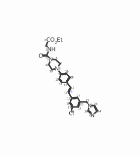 CCOC(=O)CNC(=O)N1CCN(c2ccc(/C=C/c3cc(Cl)cc(Cn4ccnc4)c3)cc2)CC1